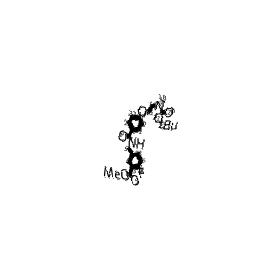 COC(=O)c1cc(CNC(=O)c2ccc(OCCN(C)C(=O)OC(C)(C)C)cc2)ccc1F